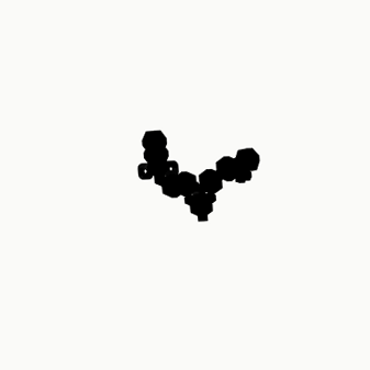 Cc1cc(C)c(N(c2ccc(-c3ccc4c(c3)C(C)(C)c3ccccc3-4)cc2)c2ccc3cc(C=C4C(=O)c5cc6ccccc6cc5C4=O)ccc3c2)c(C)c1